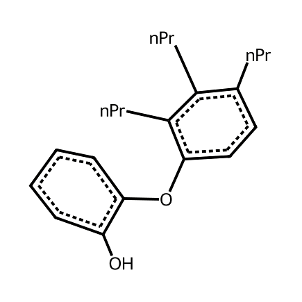 CCCc1ccc(Oc2ccccc2O)c(CCC)c1CCC